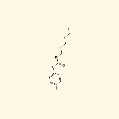 CCCCCCNC(=O)Oc1ccc(C)cc1